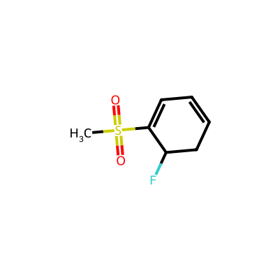 CS(=O)(=O)C1=CC=CCC1F